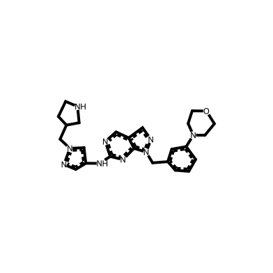 c1cc(Cn2ncc3cnc(Nc4cnn(CC5CCNC5)c4)nc32)cc(N2CCOCC2)c1